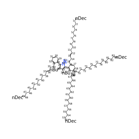 CCCCCCCCCCCCCCCCCCCCCC=CCCc1ccccc1C1=C(CCCC)C(CCCC)=C(c2ccccc2CCC=CCCCCCCCCCCCCCCCCCCCCC)[N+]1=[N-].CCCCCCCCCCCCCCCCCCCCCCCC[CH2][Ni][CH2]CCCCCCCCCCCCCCCCCCCCCCCC